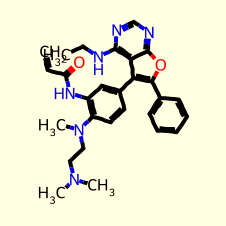 C=CC(=O)Nc1cc(-c2c(-c3ccccc3)oc3ncnc(NCC)c23)ccc1N(C)CCN(C)C